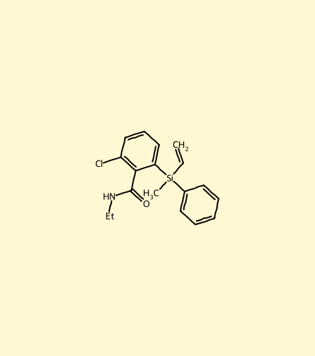 C=C[Si](C)(c1ccccc1)c1cccc(Cl)c1C(=O)NCC